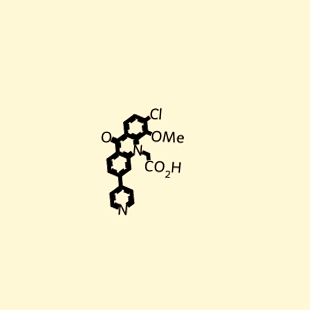 COc1c(Cl)ccc2c(=O)c3ccc(-c4ccncc4)cc3n(CC(=O)O)c12